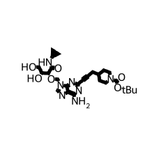 CC(C)(C)OC(=O)N1CCC(CC#Cc2nc(N)c3ncn(CO[C@H](C(=O)NC4CC4)C(O)CO)c3n2)CC1